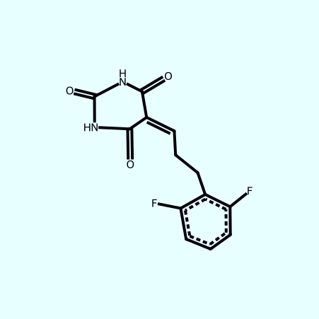 O=C1NC(=O)C(=CCCc2c(F)cccc2F)C(=O)N1